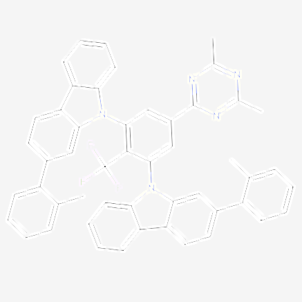 Cc1nc(C)nc(-c2cc(-n3c4ccccc4c4ccc(-c5ccccc5C)cc43)c(C(F)(F)F)c(-n3c4ccccc4c4ccc(-c5ccccc5C)cc43)c2)n1